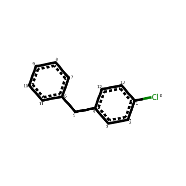 Clc1[c]cc(Cc2ccccc2)cc1